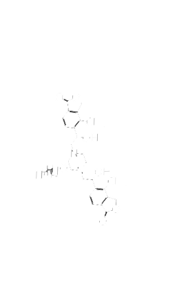 Cc1c([C@@H](O)CN2CCN(C[C@H](O)c3ccc4c(c3C)COC4=O)CC2)ccc2c1COC2=O.Cl.Cl.O